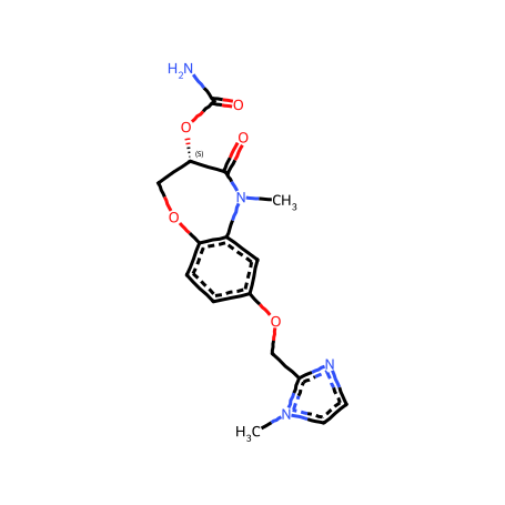 CN1C(=O)[C@@H](OC(N)=O)COc2ccc(OCc3nccn3C)cc21